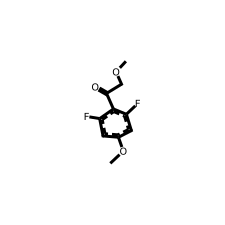 COCC(=O)c1c(F)cc(OC)cc1F